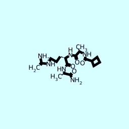 C=C(N)NCCC[C@H](NC(=O)[C@H](C)NC(=O)C1CCC1)C(=O)N[C@@H](C)C(N)=O